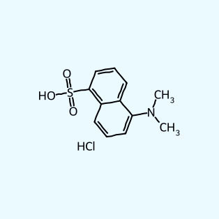 CN(C)c1cccc2c(S(=O)(=O)O)cccc12.Cl